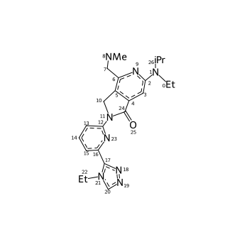 CCN(c1cc2c(c(CNC)n1)CN(c1cccc(-c3nncn3CC)n1)C2=O)C(C)C